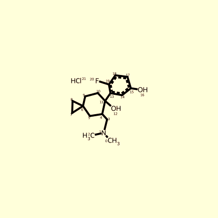 CN(C)CC1CC2(CC2)CCC1(O)c1cc(O)ccc1F.Cl